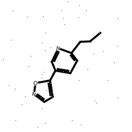 CCCc1ccc(-c2ccno2)[c]n1